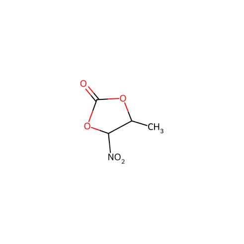 CC1OC(=O)OC1[N+](=O)[O-]